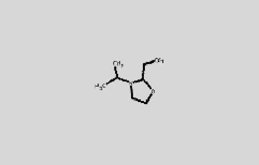 CC(C)N1CCOC1CO